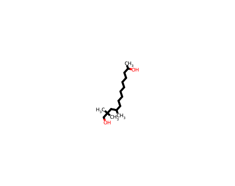 CC(O)CCCCCCCCC(C)CC(C)(C)CO